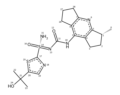 C[C@@H]1CCc2c1nc1c(c2NC(=O)N=[S@](N)(=O)c2ncc(C(C)(C)O)s2)CCC1